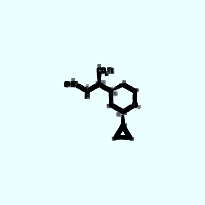 CCOC(=O)[C@H](NC=O)[C@@H]1CCO[C@H](C2CC2)C1